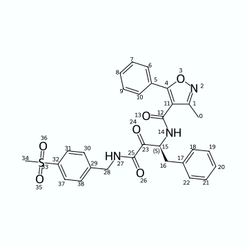 Cc1noc(-c2ccccc2)c1C(=O)N[C@@H](Cc1ccccc1)C(=O)C(=O)NCc1ccc(S(C)(=O)=O)cc1